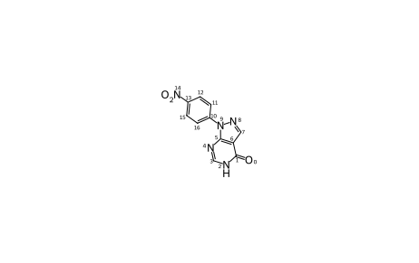 O=c1[nH]cnc2c1cnn2-c1ccc([N+](=O)[O-])cc1